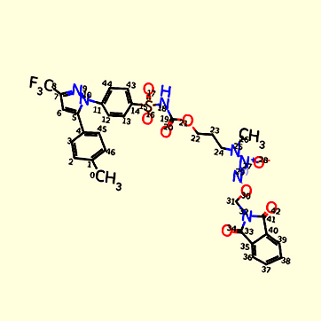 Cc1ccc(-c2cc(C(F)(F)F)nn2-c2ccc(S(=O)(=O)NC(=O)OCCCN(C)/[N+]([O-])=N/OCN3C(=O)c4ccccc4C3=O)cc2)cc1